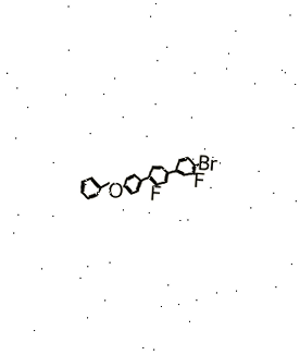 Fc1cc(-c2ccc(-c3ccc(OCc4ccccc4)cc3)c(F)c2)ccc1Br